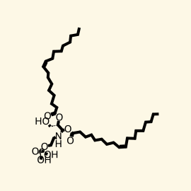 CCCCCCCC/C=C\CCCCCCCC(=O)OC(NCCOP(=O)(O)O)[C@H](CO)OC(=O)CCCCCCC/C=C\CCCCCCCC